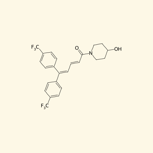 O=C(C=CC=C(c1ccc(C(F)(F)F)cc1)c1ccc(C(F)(F)F)cc1)N1CCC(O)CC1